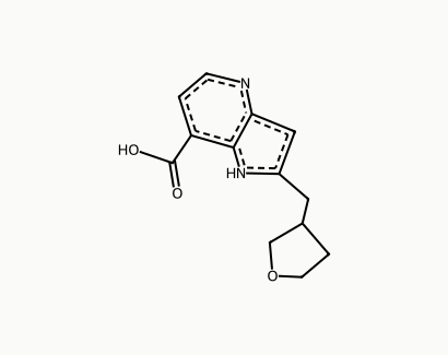 O=C(O)c1ccnc2cc(CC3CCOC3)[nH]c12